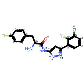 N[C@@H](Cc1ccc(F)cc1)C(=O)Nc1cc(-c2cccc(Cl)c2F)n[nH]1